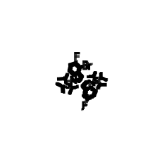 CC(C)[Si](C(C)C)(C(C)C)n1ccc2c(Br)c(F)ccc21.CC(C)[Si](C(C)C)(C(C)C)n1ccc2cc(F)ccc21